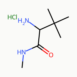 CNC(=O)C(N)C(C)(C)C.Cl